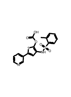 Cc1ccccc1S(=O)(=O)Nc1cc(-c2cccnc2)sc1OC(=O)O